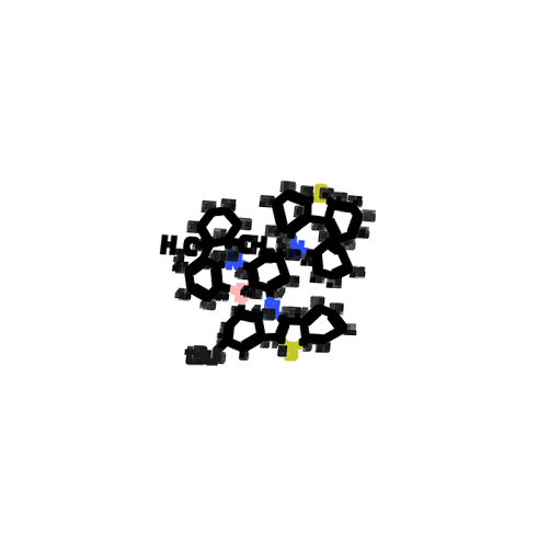 CC(C)(C)c1cc2c3c(c1)c1sc4ccccc4c1n3-c1cc(N(c3ccccc3)c3cccc4sc5ccccc5c34)cc3c1B2c1cccc2c1N3C1(C)CCCCC21C